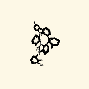 CCc1cccc(N2c3cccc4c3N(c3c(C)cccc3-n3c5ccc(C)cc5c5cccc(c53)-c3cccc(C)c3-4)[C@@H]2C)c1C